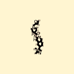 Cc1ncc(-c2ccc3cnc(NC(=O)C4(F)CCN(CC5CCO5)CC4)cc3c2)n1C